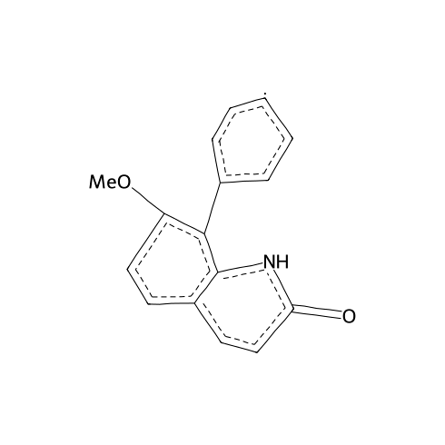 COc1ccc2ccc(=O)[nH]c2c1-c1cc[c]cc1